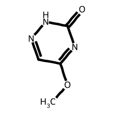 COc1cn[nH]c(=O)n1